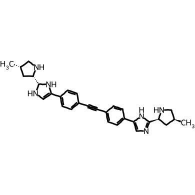 C[C@@H]1CN[C@H](c2ncc(-c3ccc(C#Cc4ccc(C5=CNC([C@@H]6C[C@H](C)CN6)N5)cc4)cc3)[nH]2)C1